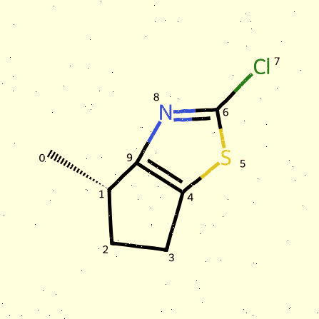 C[C@H]1CCc2sc(Cl)nc21